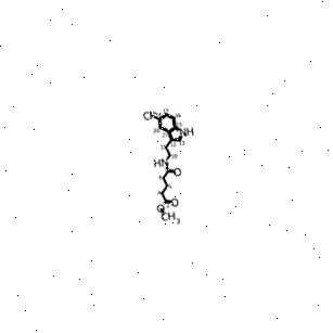 COC(=O)CCCC(=O)NCCc1c[nH]c2ccc(Cl)cc12